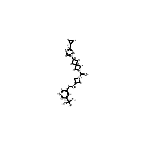 O=C(N1CC(OCc2cncc(C(F)(F)F)c2)C1)N1CC2(CC(n3cnc(C4CC4)n3)C2)C1